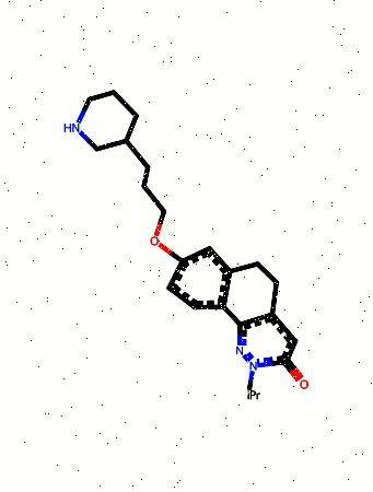 CC(C)n1nc2c(cc1=O)CCc1cc(OCCCC3CCCNC3)ccc1-2